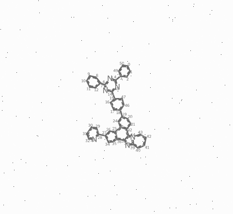 c1ccc(-c2nc(-c3ccccc3)nc(-c3ccc(-c4ccc5c(c4)c4cc(-c6ccccn6)ccc4c4nc6ccccn6c54)cc3)n2)cc1